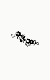 NC1c2sc(Cl)nc2CC12CCN(c1nccn3c(-c4ccnc(C(F)(F)F)c4Cl)ncc13)CC2